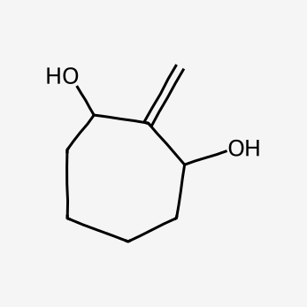 C=C1C(O)CCCCC1O